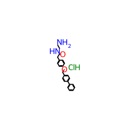 Cl.NCCNC(=O)Cc1ccc(OCc2ccc(-c3ccccc3)cc2)cc1